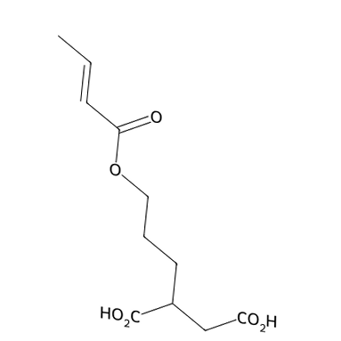 CC=CC(=O)OCCCC(CC(=O)O)C(=O)O